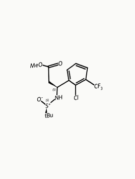 COC(=O)C[C@H](N[S@+]([O-])C(C)(C)C)c1cccc(C(F)(F)F)c1Cl